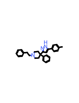 Cc1ccc(-c2cc(C3(c4ccccc4)CCN(CCc4ccccc4)CC3)n[nH]2)cc1